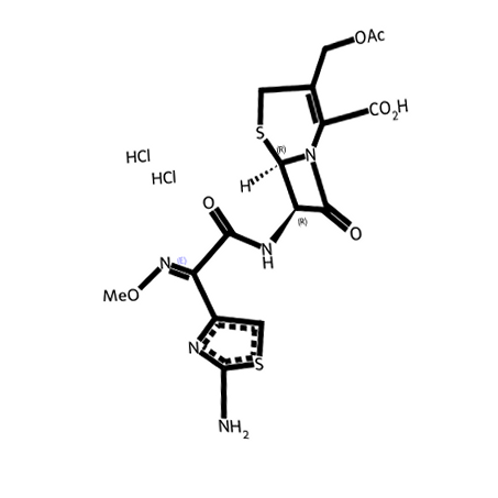 CO/N=C(/C(=O)N[C@@H]1C(=O)N2C(C(=O)O)=C(COC(C)=O)CS[C@H]12)c1csc(N)n1.Cl.Cl